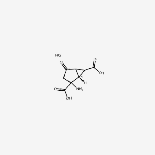 Cl.NC1(C(=O)O)CC(=O)C2C(C(=O)O)[C@@H]21